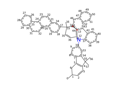 CC1C=CC2=C(C1)c1ccc(N(C3=CCC(C)(c4ccc5c(ccc6c7ccccc7ccc56)c4)C=C3)c3ccccc3-c3cccc4ccccc34)cc1C2(C)C